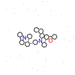 c1ccc(-c2ccccc2-n2c3ccccc3c3ccccc32)c(-c2ccc(N(c3ccc4ccc5ccccc5c4c3)c3ccccc3-c3cccc4c3oc3ccccc34)cc2)c1